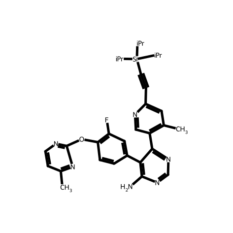 Cc1ccnc(Oc2ccc(-c3c(N)ncnc3-c3cnc(C#C[Si](C(C)C)(C(C)C)C(C)C)cc3C)cc2F)n1